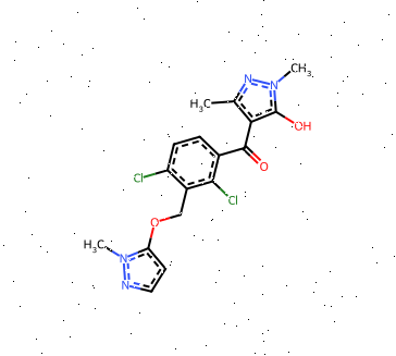 Cc1nn(C)c(O)c1C(=O)c1ccc(Cl)c(COc2ccnn2C)c1Cl